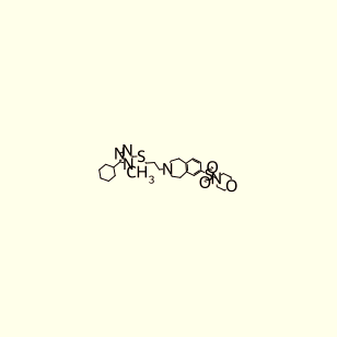 Cn1c(SCCCN2CCc3ccc(S(=O)(=O)N4CCOCC4)cc3CC2)nnc1C1CCCCC1